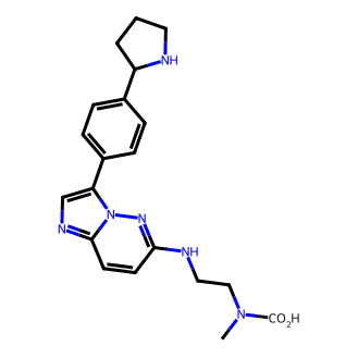 CN(CCNc1ccc2ncc(-c3ccc(C4CCCN4)cc3)n2n1)C(=O)O